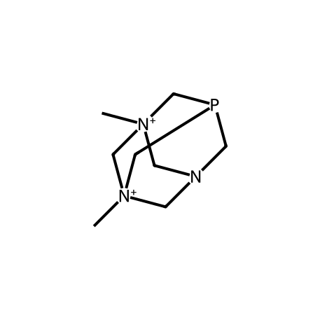 C[N+]12CN3CP(C1)C[N+](C)(C3)C2